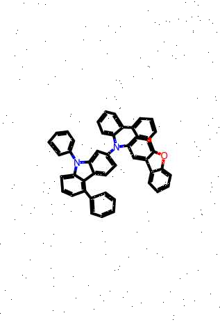 c1ccc(-c2ccccc2N(c2ccc3oc4ccccc4c3c2)c2ccc3c4c(-c5ccccc5)cccc4n(-c4ccccc4)c3c2)cc1